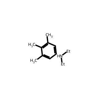 CCNCC.Cc1cccc(C)c1C